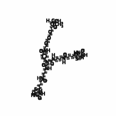 CC(C)(C)OC(=O)CCOCCOCCOCCNC(=O)c1ccc(CN(CC(=O)NCCCCNC(=O)CCCC[C@@H]2SC[C@@H]3NC(=O)N[C@@H]32)CC(=O)NCCCCNC(=O)CCCC[C@@H]2SC[C@@H]3NC(=O)N[C@@H]32)cc1